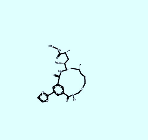 CCCCNC(=O)[C@H](C)C[C@H](O)[C@@H]1C[C@H](C)CCCCCN(CC)C(=O)c2cc(cc(-c3ncco3)c2)C(=O)N1